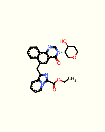 CCOC(=O)c1nc(Cc2cc3c(=O)n([C@H]4COCC[C@@H]4O)cnc3c3ccccc23)c2ccccn12